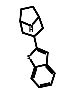 c1ccc2sc(C3CC4CCC(C3)N4)cc2c1